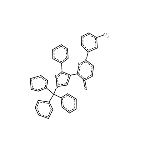 O=c1ccn(-c2cccc(C(F)(F)F)c2)nc1-c1cn(C(c2ccccc2)(c2ccccc2)c2ccccc2)nc1-c1ccccc1